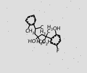 Cc1ccccc1C(C)CC(O)(CC(C)(C)c1cc(F)ccc1O)C(=O)O